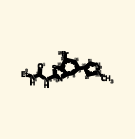 CCNC(=O)Nc1nc2cc(-c3cnn(C)c3)cc(Br)c2s1